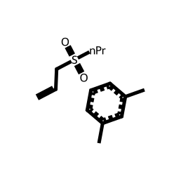 C=CCS(=O)(=O)CCC.Cc1cccc(C)c1